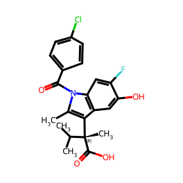 Cc1c([C@](C)(C(=O)O)C(C)C)c2cc(O)c(F)cc2n1C(=O)c1ccc(Cl)cc1